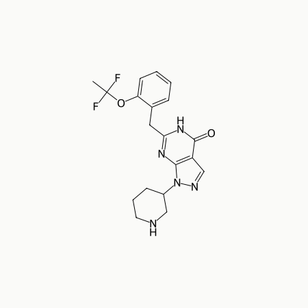 CC(F)(F)Oc1ccccc1Cc1nc2c(cnn2C2CCCNC2)c(=O)[nH]1